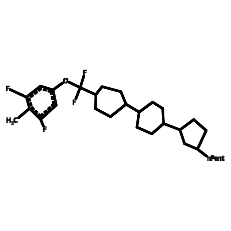 CCCCCC1CCC(C2CCC(C3CCC(C(F)(F)Oc4cc(F)c(C)c(F)c4)CC3)CC2)C1